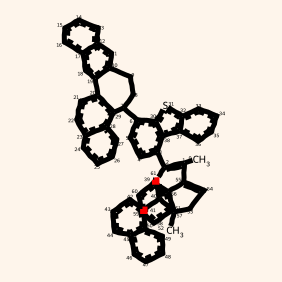 CC1=C(c2ccc(C3CCc4cc5ccccc5cc4-c4ccc5ccccc5c43)c3sc4ccccc4c23)/N=C(/c2cccc3ccccc23)C(C)C\C=C\1c1ccccc1